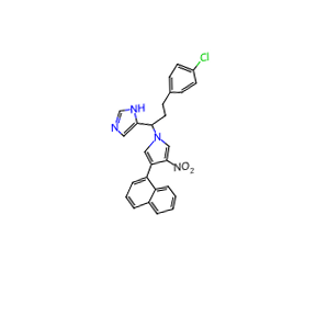 O=[N+]([O-])c1cn(C(CCc2ccc(Cl)cc2)c2cnc[nH]2)cc1-c1cccc2ccccc12